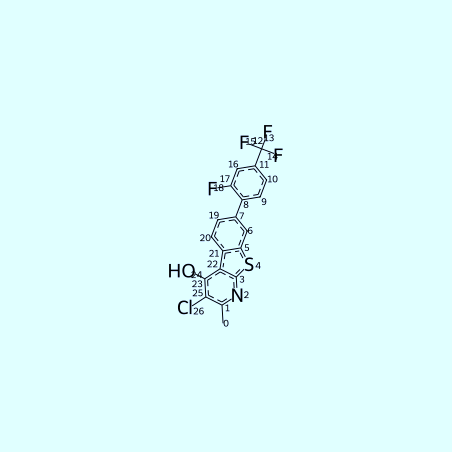 Cc1nc2sc3cc(-c4ccc(C(F)(F)F)cc4F)ccc3c2c(O)c1Cl